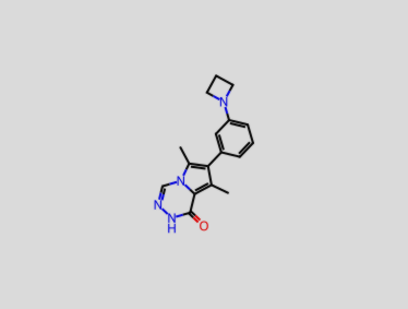 Cc1c(-c2cccc(N3CCC3)c2)c(C)n2cn[nH]c(=O)c12